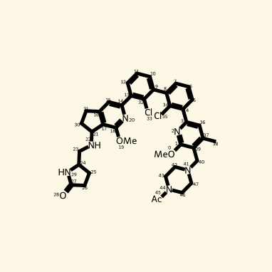 COc1nc(-c2cccc(-c3cccc(-c4cc5c(c(OC)n4)C(NCC4CCC(=O)N4)CC5)c3Cl)c2Cl)cc(C)c1CN1CCN(C(C)=O)CC1